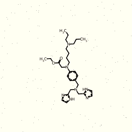 CCCN(CCC)CCCCN(CC(=O)OCC)c1ccc(CN(Cc2ncc[nH]2)Cc2ncc[nH]2)cc1